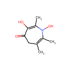 CC1=C(C)N(O)C(C)=C(O)C(=O)C1